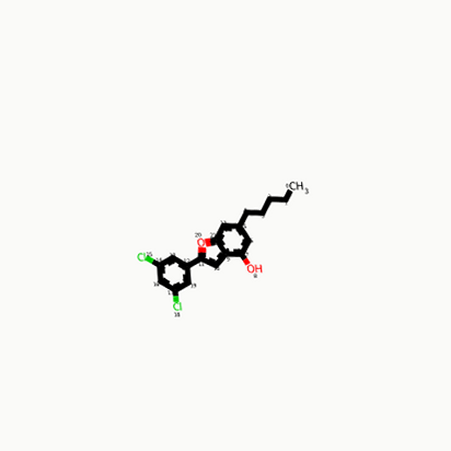 CCCCCc1cc(O)c2cc(-c3cc(Cl)cc(Cl)c3)oc2c1